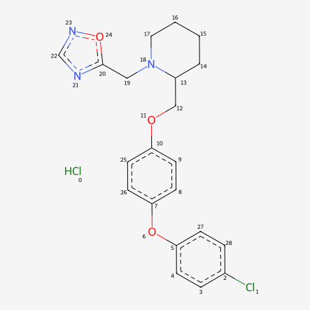 Cl.Clc1ccc(Oc2ccc(OCC3CCCCN3Cc3ncno3)cc2)cc1